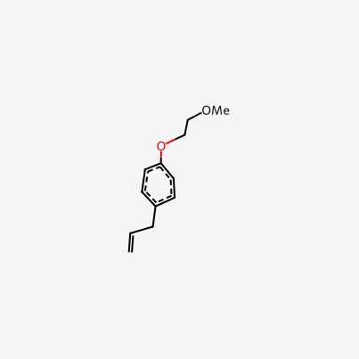 C=CCc1ccc(OCCOC)cc1